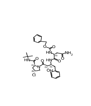 CC(C)(C)NC(=O)[C@@H]1C[C@@H](Cl)CN1C(=O)[C@@H](O)[C@H](Cc1ccccc1)NC(=O)[C@H](CC(N)=O)NC(=O)OCc1ccccc1